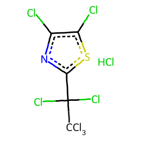 Cl.Clc1nc(C(Cl)(Cl)C(Cl)(Cl)Cl)sc1Cl